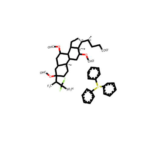 C[C@H](CCC(=O)[O-])[C@H]1CCC2C3C(OC=O)CC4CC(OC=O)(C(C(F)(F)F)C(F)(F)S(=O)(=O)O)CC[C@]4(C)C3CC(OC=O)[C@@]21C.c1ccc([S+](c2ccccc2)c2ccccc2)cc1